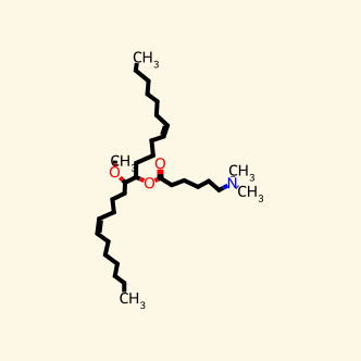 CCCCCC/C=C\CCCC(OC)C(CCC/C=C\CCCCCC)OC(=O)CCCCCN(C)C